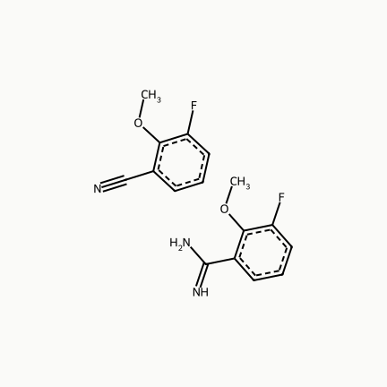 COc1c(F)cccc1C#N.COc1c(F)cccc1C(=N)N